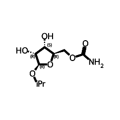 CC(C)O[C@@H]1O[C@H](COC(N)=O)[C@@H](O)[C@H]1O